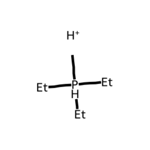 CC[PH](C)(CC)CC.[H+]